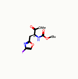 COC(=O)[C@H](Cc1nc(I)co1)NC(=O)OC(C)(C)C